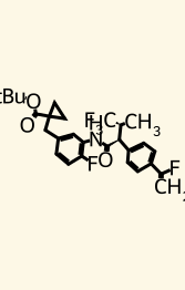 C=C(F)c1ccc([C@@H](C(=O)Nc2cc(CC3(C(=O)OC(C)(C)C)CC3)ccc2F)[C@@H](C)C(F)(F)F)cc1